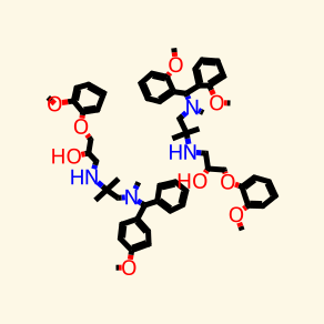 COc1ccc(C(c2ccccc2)N(C)CC(C)(C)NCC(O)COc2ccccc2OC)cc1.COc1ccccc1OCC(O)CNC(C)(C)CN(C)C(c1ccccc1OC)c1ccccc1OC